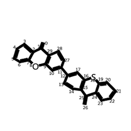 C=C1c2ccccc2Oc2cc(-c3ccc4c(c3)Sc3ccccc3C4=C)ccc21